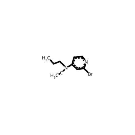 CCCN(CC)c1ccnc(Br)c1